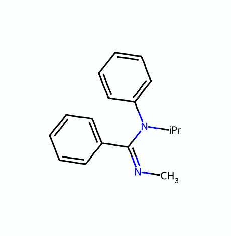 C/N=C(/c1ccccc1)N(c1ccccc1)C(C)C